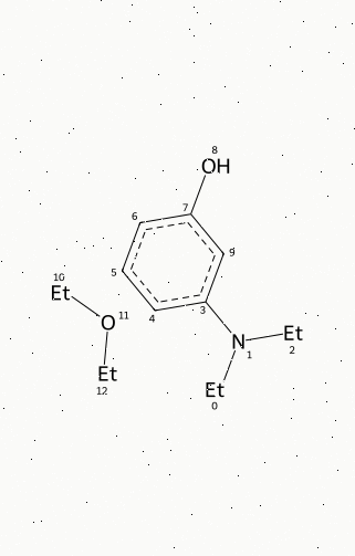 CCN(CC)c1cccc(O)c1.CCOCC